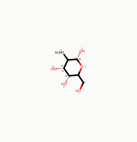 CC(=O)NC1[C@H](O)OC(CO)[C@H](O)[C@@H]1O